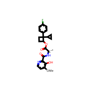 COc1ccnc(C(=O)N[C@@H](C)C(=O)OC2CCC2(c2ccc(F)cc2)C2CC2)c1O